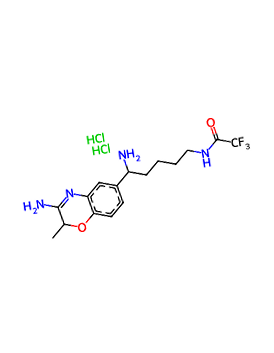 CC1Oc2ccc(C(N)CCCCNC(=O)C(F)(F)F)cc2N=C1N.Cl.Cl